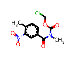 Cc1ccc(C(=O)N(C)C(=O)OCCl)cc1[N+](=O)[O-]